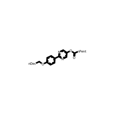 CCCCCCCCCCCOc1ccc(-c2ncc(OC(=O)CCCCC)cn2)cc1